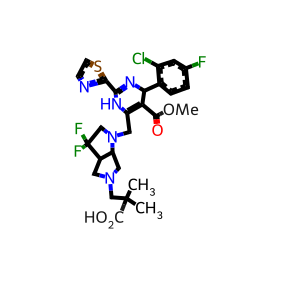 COC(=O)C1=C(CN2CC(F)(F)C3CN(CC(C)(C)C(=O)O)CC32)NC(c2nccs2)=NC1c1ccc(F)cc1Cl